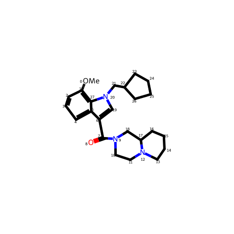 COc1cccc2c(C(=O)N3CCN4CCCCC4C3)cn(CC3CCCC3)c12